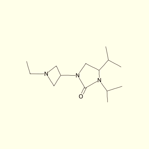 CCN1CC(N2CC(C(C)C)N(C(C)C)C2=O)C1